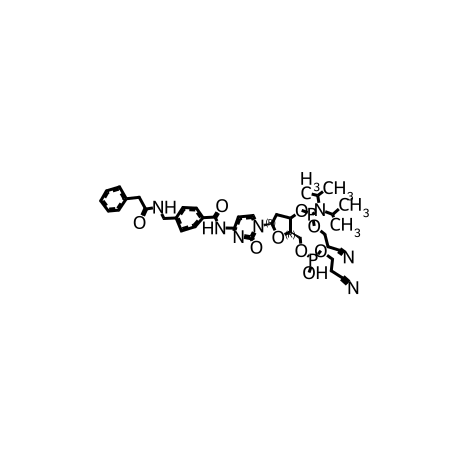 CC(C)N(C(C)C)P(OCCC#N)OC1C[C@H](n2ccc(NC(=O)c3ccc(CNC(=O)Cc4ccccc4)cc3)nc2=O)O[C@@H]1COP(O)OCCC#N